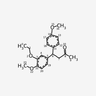 CCOc1cc(C(CC(C)=O)c2ccc(OC)cc2)ccc1OC